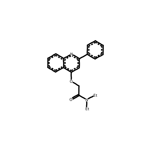 CCN(CC)C(=O)COc1cc(-c2ccccc2)nc2ccccc12